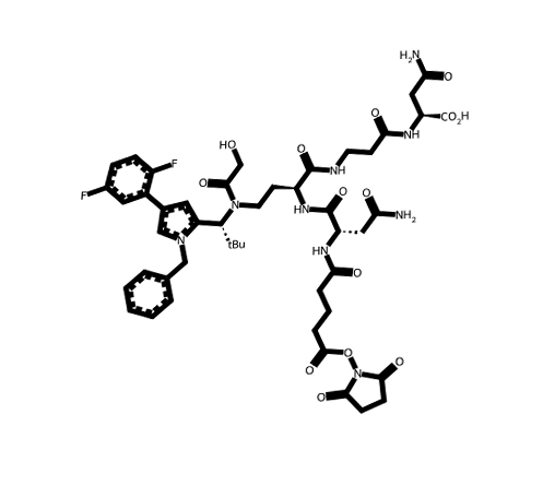 CC(C)(C)[C@H](c1cc(-c2cc(F)ccc2F)cn1Cc1ccccc1)N(CC[C@H](NC(=O)[C@H](CC(N)=O)NC(=O)CCCC(=O)ON1C(=O)CCC1=O)C(=O)NCCC(=O)N[C@@H](CC(N)=O)C(=O)O)C(=O)CO